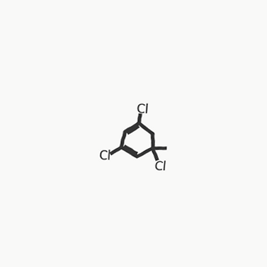 CC1(Cl)C=C(Cl)C=C(Cl)C1